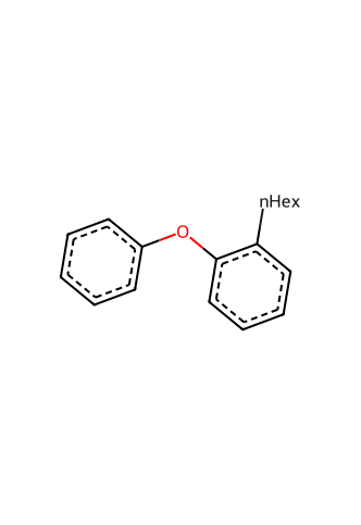 [CH2]CCCCCc1ccccc1Oc1ccccc1